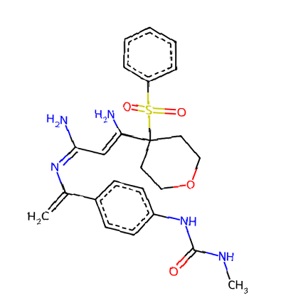 C=C(/N=C(N)\C=C(/N)C1(S(=O)(=O)c2ccccc2)CCOCC1)c1ccc(NC(=O)NC)cc1